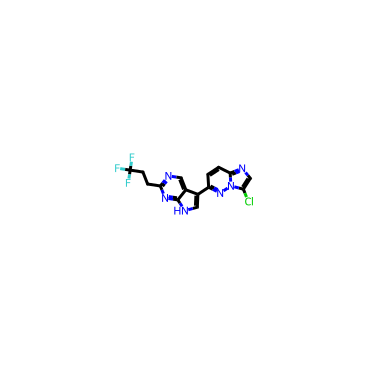 FC(F)(F)CCc1ncc2c(-c3ccc4ncc(Cl)n4n3)c[nH]c2n1